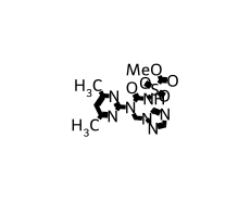 COC(=O)S(=O)(=O)NC(=O)N(Cn1cncn1)c1nc(C)cc(C)n1